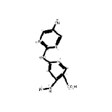 CC(C)Nc1cc(Nc2ncc(C#N)cn2)ncc1C(=O)O